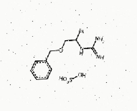 CCC(COCc1ccccc1)NC(=N)N.O=S(=O)(O)O